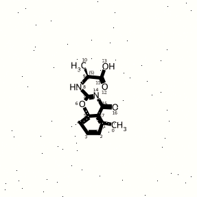 Cc1cccc2oc(N[C@@H](C)C(=O)O)nc(=O)c12